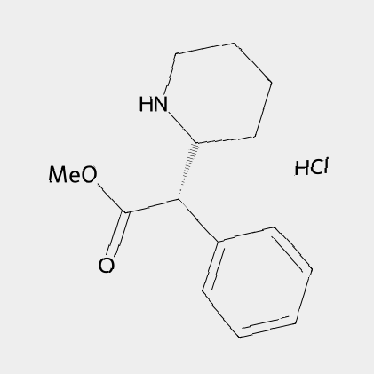 COC(=O)[C@@H](c1ccccc1)C1CCCCN1.Cl